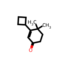 CC1(C)CCC(=O)C=C1C1CCC1